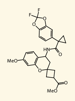 COC(=O)C1CC2(C1)CC(NC(=O)C1(c3ccc4c(c3)OC(F)(F)O4)CC1)c1ccc(OC)cc1O2